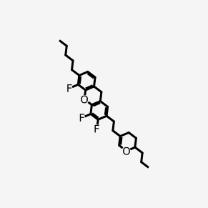 CCCCCc1ccc2c(c1F)Oc1c(cc(CCC3=COC(CCC)CC3)c(F)c1F)C2